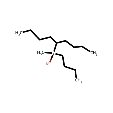 CCCCC(CCCC)[Si](C)(Br)CCCC